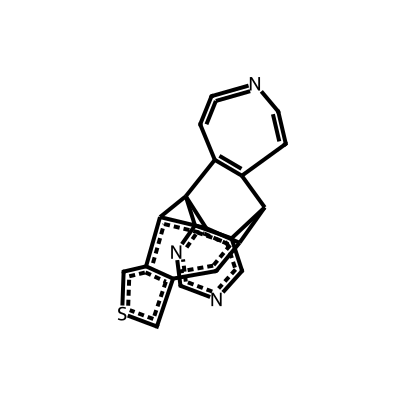 C1=CC2=C(C=CN=1)C1c3cncnc3C23c2c1cc1cscc1c23